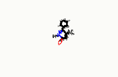 CC(=O)c1cc(=O)n(C(C)C)nc1-c1ccccc1